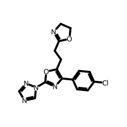 Clc1ccc(-c2nc(-n3cncn3)oc2CCC2=NCCO2)cc1